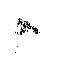 CNC1CCC(Nc2cc(Nc3ccnc(-c4cnn(S(=O)(=O)C5CC5)c4)n3)ncc2C(=O)C2CC2)CC1